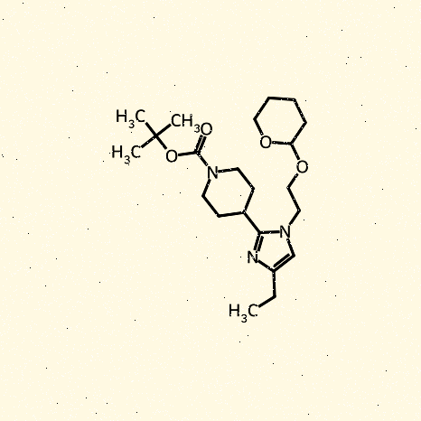 CCc1cn(CCOC2CCCCO2)c(C2CCN(C(=O)OC(C)(C)C)CC2)n1